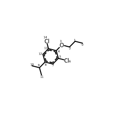 CCCOc1c(Cl)cc(C(C)C)cc1Cl